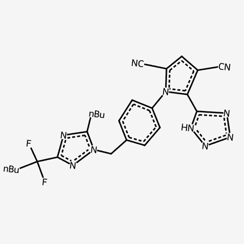 CCCCc1nc(C(F)(F)CCCC)nn1Cc1ccc(-n2c(C#N)cc(C#N)c2-c2nnn[nH]2)cc1